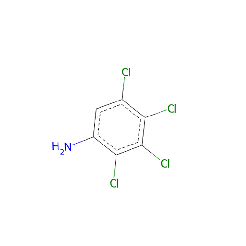 Nc1cc(Cl)c(Cl)c(Cl)c1Cl